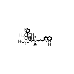 CC(C)(C(=O)N[C@@H](CCN(CCCCc1ccc2c(n1)NCCC2)C1CC1)C(=O)O)c1cccnc1